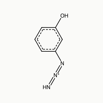 N=[N+]=Nc1cccc(O)c1